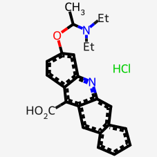 CCN(CC)C(C)Oc1ccc2c(C(=O)O)c3cc4ccccc4cc3nc2c1.Cl